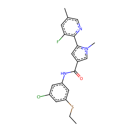 CCSc1cc(Cl)cc(NC(=O)c2cc(-c3ncc(C)cc3F)n(C)c2)c1